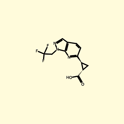 O=C(O)[C@H]1C[C@@H]1c1ccc2cnn(CC(F)(F)F)c2n1